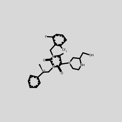 Cc1c(N2CCNC(CO)C2)c(=O)n(C[C@H](C)c2ccccc2)c(=O)n1Cc1c(F)cccc1C(F)(F)F